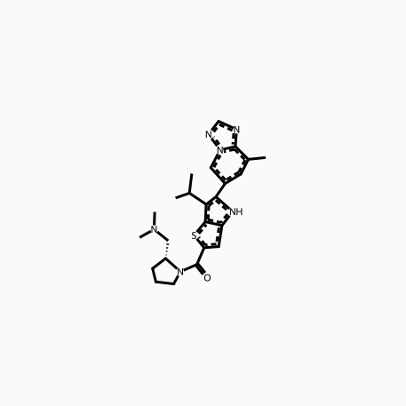 Cc1cc(-c2[nH]c3cc(C(=O)N4CCC[C@@H]4CN(C)C)sc3c2C(C)C)cn2ncnc12